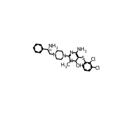 CN1C(N2CCN(C[C@@H](N)c3ccccc3)CC2)=NC(N)=C(Sc2cccc(Cl)c2Cl)C1O